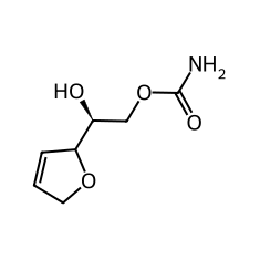 NC(=O)OC[C@H](O)C1C=CCO1